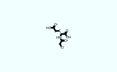 O=C(O)CC[C@@H](NC(=O)CCl)C(=O)O